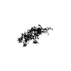 CCCCCC(C(=O)NCNC(=O)c1ccc(-c2ccc(C(=O)NC(CC(=O)OCc3ccccc3)C(=O)OCc3ccccc3)c(OCC)c2)o1)[C@@H](CC)N(C=O)OC(C)=O.c1ccccc1